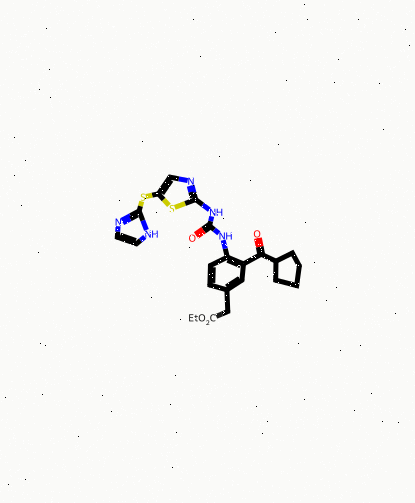 CCOC(=O)Cc1ccc(NC(=O)Nc2ncc(Sc3ncc[nH]3)s2)c(C(=O)C2CCCC2)c1